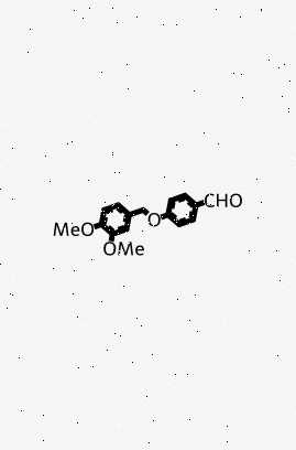 COc1ccc(COc2ccc(C=O)cc2)cc1OC